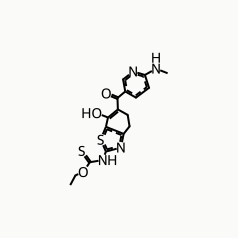 CCOC(=S)Nc1nc2c(s1)C(O)=C(C(=O)c1ccc(NC)nc1)CC2